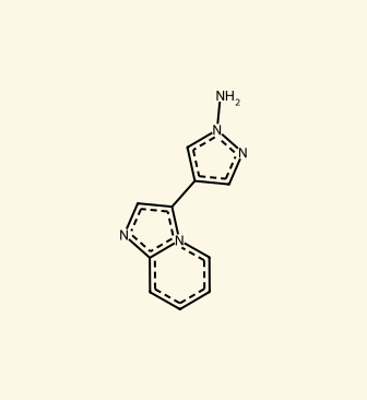 Nn1cc(-c2cnc3ccccn23)cn1